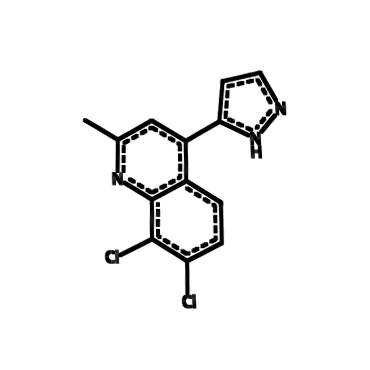 Cc1cc(-c2ccn[nH]2)c2ccc(Cl)c(Cl)c2n1